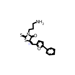 NCCCN1C(=O)/C(=C\c2ccc(-c3ccccc3)o2)SC1=S